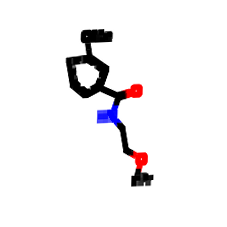 CCCOCCNC(=O)c1cccc(OC)c1